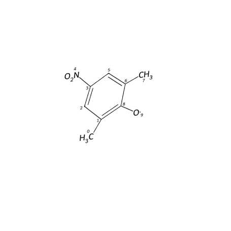 Cc1cc([N+](=O)[O-])cc(C)c1[O]